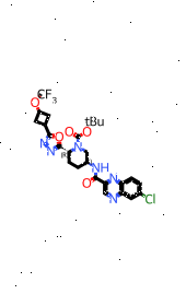 CC(C)(C)OC(=O)N1C[C@@H](NC(=O)c2cnc3cc(Cl)ccc3n2)CC[C@@H]1c1nnc(C2CC(OC(F)(F)F)C2)o1